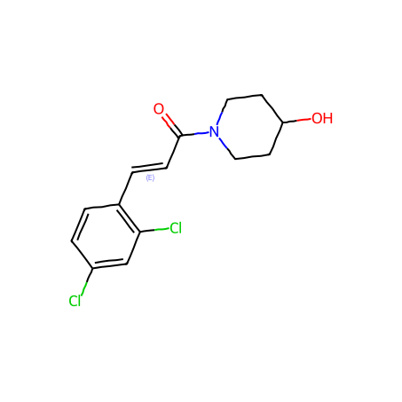 O=C(/C=C/c1ccc(Cl)cc1Cl)N1CCC(O)CC1